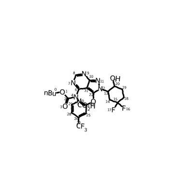 CCCCOC(=O)N(C(=O)O)c1ncnc2nn(C3CC(F)(F)CCC3O)c(Oc3cc(C(F)(F)F)ccn3)c12